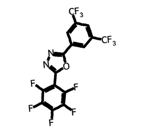 Fc1c(F)c(F)c(-c2nnc(-c3cc(C(F)(F)F)cc(C(F)(F)F)c3)o2)c(F)c1F